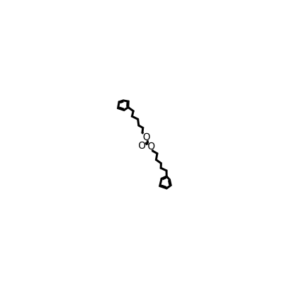 O=C(OCCCCCCc1ccccc1)OCCCCCCc1ccccc1